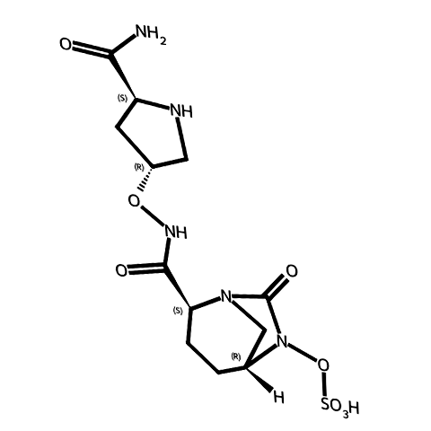 NC(=O)[C@@H]1C[C@@H](ONC(=O)[C@@H]2CC[C@@H]3CN2C(=O)N3OS(=O)(=O)O)CN1